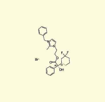 Cc1n(CCOC(=O)[C@](O)(c2ccccc2)[C@H]2CCCC(F)(F)C2)cc[n+]1Cc1ccccc1.[Br-]